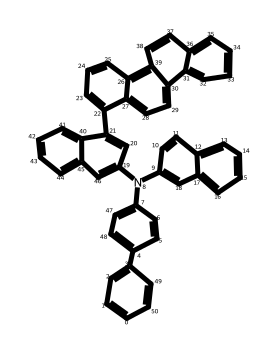 c1ccc(-c2ccc(N(c3ccc4ccccc4c3)c3cc(-c4cccc5c4ccc4c6ccccc6ccc54)c4ccccc4c3)cc2)cc1